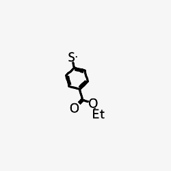 CCOC(=O)c1ccc([S])cc1